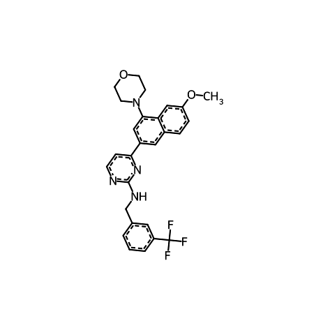 COc1ccc2cc(-c3ccnc(NCc4cccc(C(F)(F)F)c4)n3)cc(N3CCOCC3)c2c1